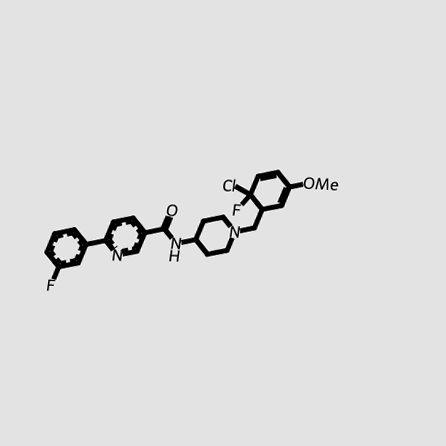 COC1=CC(CN2CCC(NC(=O)c3ccc(-c4cccc(F)c4)nc3)CC2)C(F)(Cl)C=C1